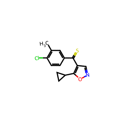 Cc1cc(C(=S)c2cnoc2C2CC2)ccc1Cl